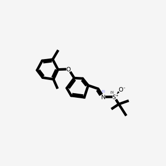 Cc1cccc(C)c1Oc1cccc(/C=N/[S@+]([O-])C(C)(C)C)c1